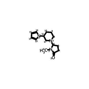 CN1C(=O)CCC1N1CCCC(n2cccc2)C1